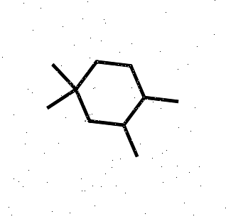 CC1[CH]C(C)(C)CCC1C